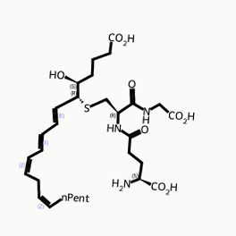 CCCCC/C=C\C\C=C/C=C/C=C/[C@@H](SC[C@H](NC(=O)CC[C@H](N)C(=O)O)C(=O)NCC(=O)O)[C@@H](O)CCCC(=O)O